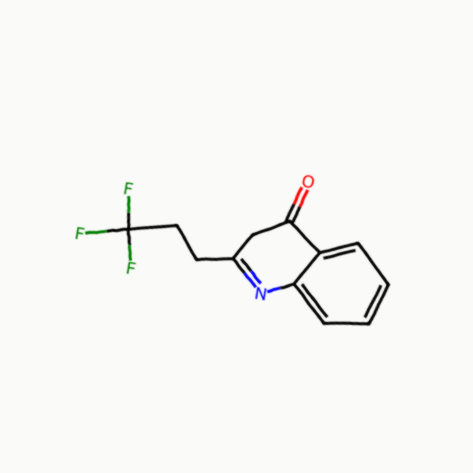 O=C1CC(CCC(F)(F)F)=Nc2ccccc21